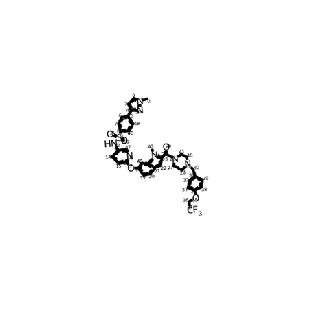 Cn1ccc(-c2ccc(S(=O)(=O)Nc3ccc(Oc4ccc5cc(C(=O)N6CCN(Cc7ccc(OCC(F)(F)F)cc7)CC6)n(C)c5c4)nc3)cc2)n1